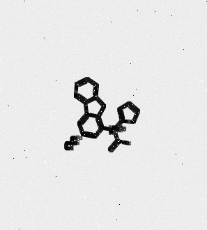 C=[C](C)[Zr+2]([C]1=CC=CC1)[c]1cccc2c1Cc1ccccc1-2.[Cl-].[Cl-]